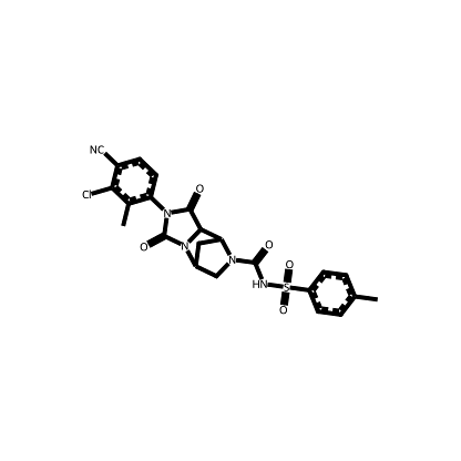 Cc1ccc(S(=O)(=O)NC(=O)N2CC3CC2C2C(=O)N(c4ccc(C#N)c(Cl)c4C)C(=O)N32)cc1